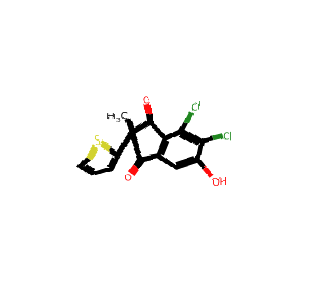 CC1(c2cccs2)C(=O)c2cc(O)c(Cl)c(Cl)c2C1=O